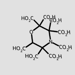 O=C(O)C1OC(C(=O)O)(C(=O)O)C(C(=O)O)(C(=O)O)N(C(=O)O)C1(C(=O)O)C(=O)O